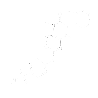 Cc1ccccc1[C@H]1C(=O)N(C)c2cnc(Nc3ccc(S(N)(=O)=O)cc3)nc2N1C